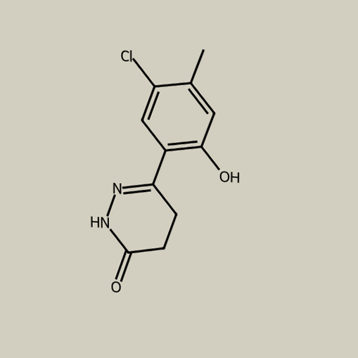 Cc1cc(O)c(C2=NNC(=O)CC2)cc1Cl